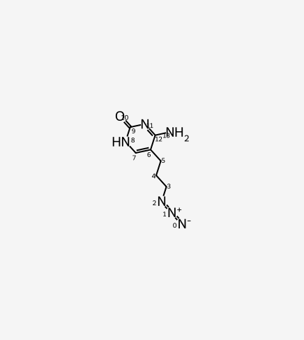 [N-]=[N+]=NCCCc1c[nH]c(=O)nc1N